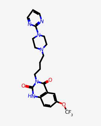 O=c1[nH]c2ccc(OC(F)(F)F)cc2c(=O)n1CCCCN1CCN(c2ncccn2)CC1